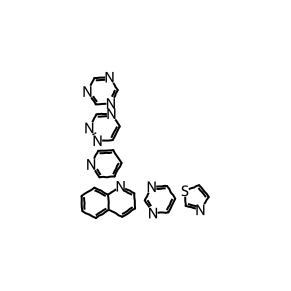 c1ccc2ncccc2c1.c1ccncc1.c1cncnc1.c1cnncn1.c1cscn1.c1ncncn1